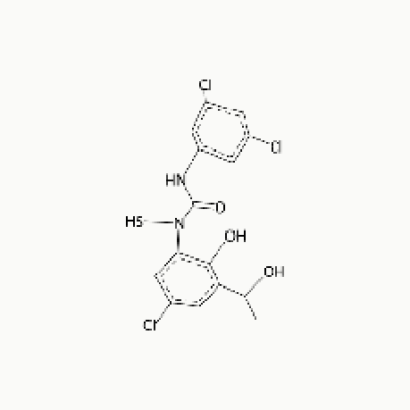 CC(O)c1cc(Cl)cc(N(S)C(=O)Nc2cc(Cl)cc(Cl)c2)c1O